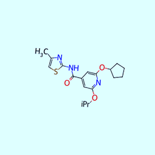 Cc1csc(NC(=O)c2cc(OC(C)C)nc(OC3CCCC3)c2)n1